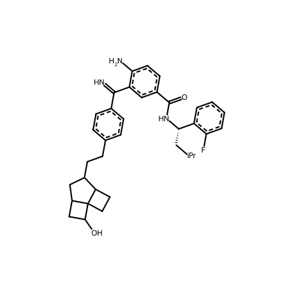 CC(C)C[C@H](NC(=O)c1ccc(N)c(C(=N)c2ccc(CCC3CC4CC(O)C45CCC35)cc2)c1)c1ccccc1F